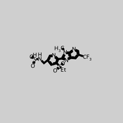 CCS(=O)(=O)c1cc(CN[SH](=O)=O)cnc1-c1nc2cc(C(F)(F)F)cnc2n1C